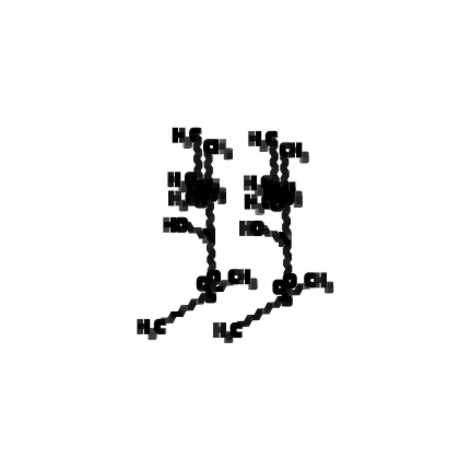 CCCCCCCCCCSC(CCCC)C(=O)OCCCCCCN(CCCCO)CCCCCC(OCCCCCCCC)O[Si](C)(C)O[Si](C)(C)CCCCCCCC.CCCCCCCCCCSC(CCCC)C(=O)OCCCCCCN(CCCCO)CCCCCC(OCCCCCCCC)O[Si](C)(C)O[Si](C)(C)CCCCCCCC